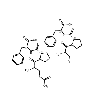 CC(=O)SCC(C)C(=O)N1CCC[C@H]1C(=O)N[C@@H](Cc1ccccc1)C(=O)O.CC(CS)C(=O)N1CCC[C@H]1C(=O)N[C@@H](Cc1ccccc1)C(=O)O